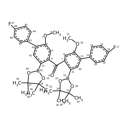 COc1cc(C(=O)c2cc(OC)c(-c3ccc(F)cc3)cc2B2OC(C)(C)C(C)(C)O2)c(B2OC(C)(C)C(C)(C)O2)cc1-c1ccc(F)cc1